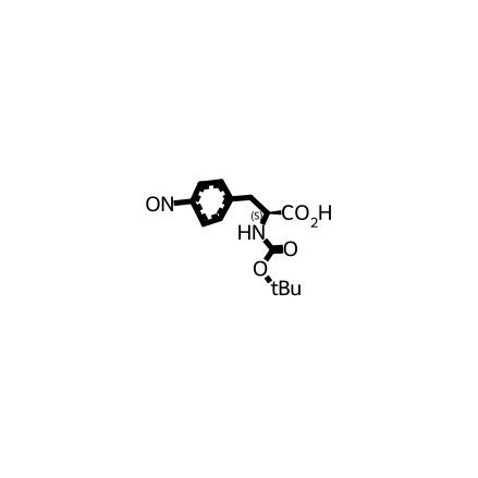 CC(C)(C)OC(=O)N[C@@H](Cc1ccc(N=O)cc1)C(=O)O